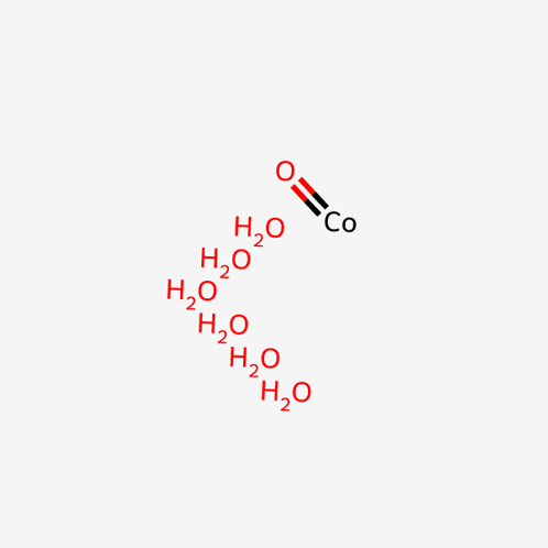 O.O.O.O.O.O.[O]=[Co]